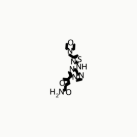 NC(=O)c1cc(-c2cnc(Nc3nc(CN4CCOCC4)cs3)c3nccn23)co1